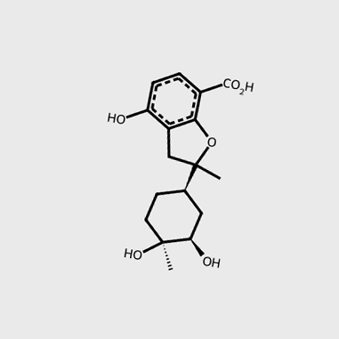 CC1([C@@H]2CC[C@](C)(O)[C@H](O)C2)Cc2c(O)ccc(C(=O)O)c2O1